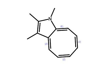 Cc1c(C)n(C)c2/c1=C\C=C/C=C\C=2